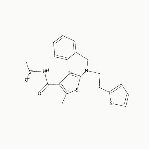 Cc1sc(N(CCc2cccs2)Cc2ccccc2)nc1C(=O)N[S+](C)[O-]